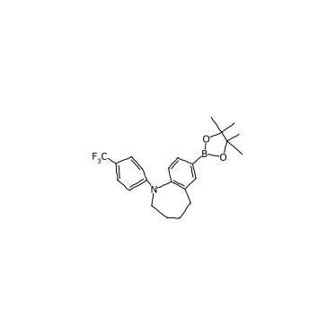 CC1(C)OB(c2ccc3c(c2)CCCCN3c2ccc(C(F)(F)F)cc2)OC1(C)C